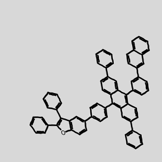 c1ccc(-c2ccc3c(-c4cccc(-c5ccc6ccccc6c5)c4)c4cc(-c5ccccc5)ccc4c(-c4ccc(-c5ccc6oc(-c7ccccc7)c(-c7ccccc7)c6c5)cc4)c3c2)cc1